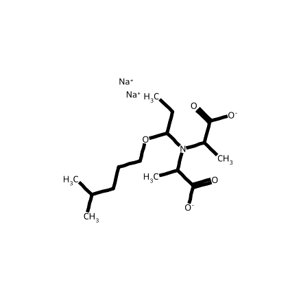 CCC(OCCCC(C)C)N(C(C)C(=O)[O-])C(C)C(=O)[O-].[Na+].[Na+]